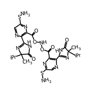 CC(C)C1(C)N=C(c2ncc(SN)nc2C(=O)ONOC(=O)c2nc(SN)cnc2C2=NC(C)(C(C)C)C(=O)N2)NC1=O